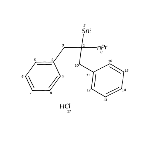 CCC[C]([Sn])(Cc1ccccc1)Cc1ccccc1.Cl